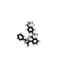 Cc1nc(-c2ccccc2)sc1-c1ccccc1C(=O)Nc1ccc(CN)cc1